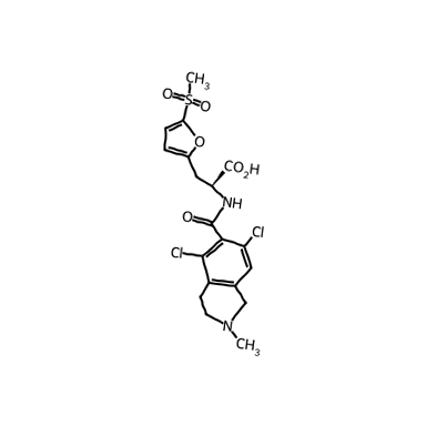 CN1CCc2c(cc(Cl)c(C(=O)N[C@@H](Cc3ccc(S(C)(=O)=O)o3)C(=O)O)c2Cl)C1